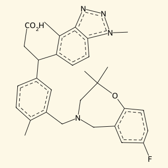 Cc1ccc(C(CC(=O)O)c2ccc3c(nnn3C)c2C)cc1CN1Cc2cc(F)ccc2OC(C)(C)C1